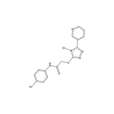 CCn1c(SCC(=O)Nc2ccc(C(C)=O)cc2)nnc1-c1cccnc1